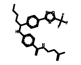 C=C(C)CCNC(=C)c1ccc(NC(CCCC)c2ccc(-c3noc(C(F)(F)F)n3)cc2)cc1